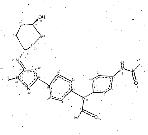 CC(=O)Nc1ccc(N(C(C)=O)c2ccc(-c3nn(C)c(=N[C@H]4CC[C@H](O)CC4)s3)cc2)cc1